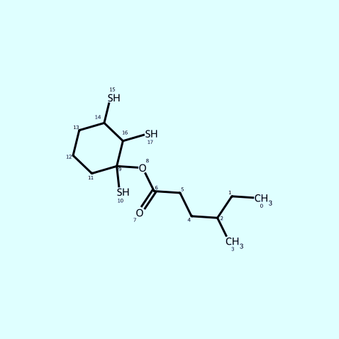 CCC(C)CCC(=O)OC1(S)CCCC(S)C1S